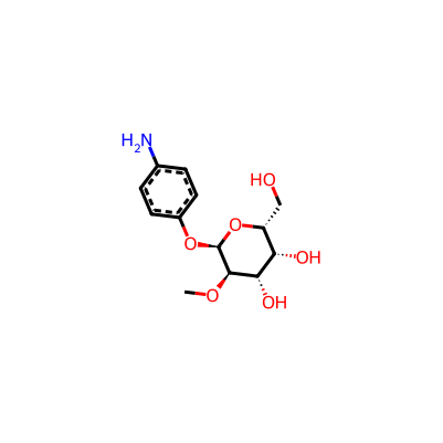 CO[C@H]1[C@@H](Oc2ccc(N)cc2)O[C@H](CO)[C@H](O)[C@@H]1O